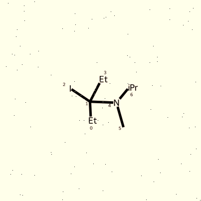 CCC(I)(CC)N(C)C(C)C